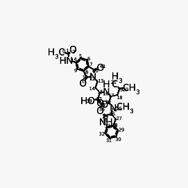 CC(=O)Nc1ccc2c(c1)C(=O)N(CC[C@@H](N[C@@H](CC(C)C)C(=O)N(C)[C@@H](Cc1ccccc1)C(N)=O)C(=O)O)C2=O